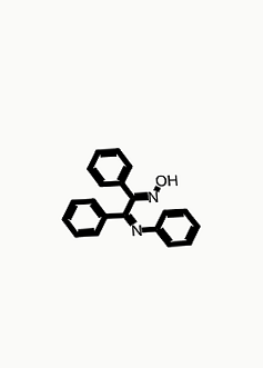 ON=C(C(=Nc1ccccc1)c1ccccc1)c1ccccc1